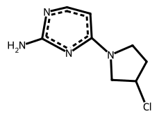 Nc1nccc(N2CCC(Cl)C2)n1